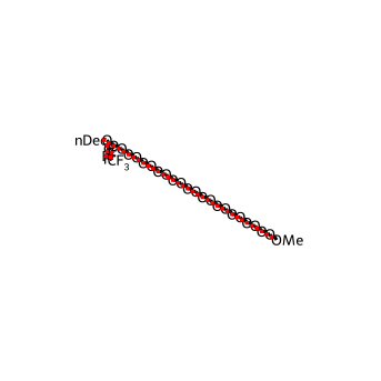 CCCCCCCCCCOC(COCCOCCOCCOCCOCCOCCOCCOCCOCCOCCOCCOCCOCCOCCOCCOCCOCCOCCOCCOCCOCCOCCOC)COCC(F)(F)C(F)(F)C(F)(F)F